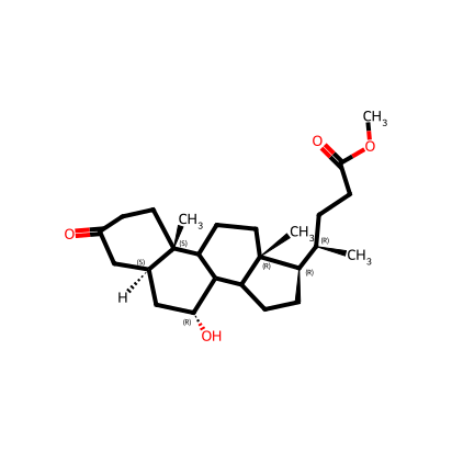 COC(=O)CC[C@@H](C)[C@H]1CCC2C3C(CC[C@@]21C)[C@@]1(C)CCC(=O)C[C@@H]1C[C@H]3O